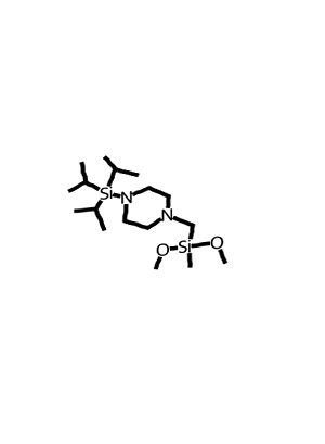 CO[Si](C)(CN1CCN([Si](C(C)C)(C(C)C)C(C)C)CC1)OC